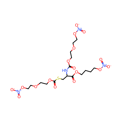 O=C(NC(CSC(=O)OCCOCCO[N+](=O)[O-])C(=O)OCCCCO[N+](=O)[O-])OCCOCCO[N+](=O)[O-]